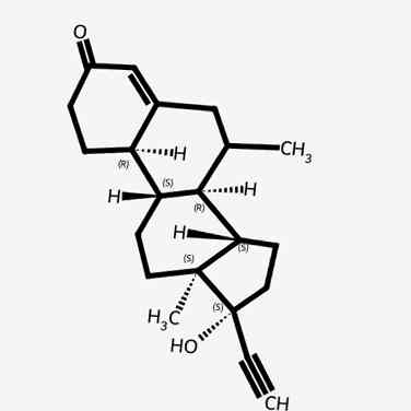 C#C[C@]1(O)CC[C@H]2[C@@H]3C(C)CC4=CC(=O)CC[C@@H]4[C@H]3CC[C@@]21C